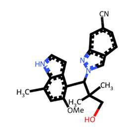 COc1cc(C)c2[nH]ccc2c1C(n1cc2ccc(C#N)cc2n1)C(C)(C)CO